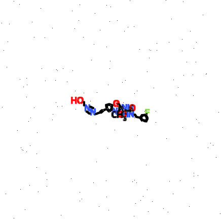 CN1C(=O)[C@@H](NC(=O)C(=O)NCCc2cccc(F)c2)COc2ccc(C#CCN3CCN(CCO)CC3)cc21